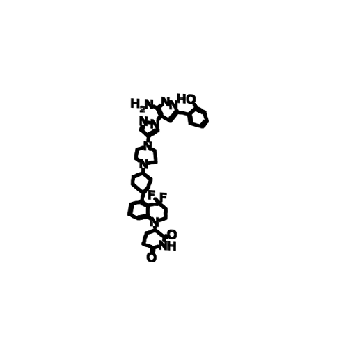 Nc1nnc(-c2ccccc2O)cc1-n1cc(N2CCN(C3CCC(c4cccc5c4C(F)(F)CCN5[C@@H]4CCC(=O)NC4=O)CC3)CC2)cn1